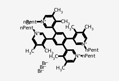 CCCCC[n+]1cc(C)c(C)c(-c2cc(-c3c[n+](CCCCC)cc(C)c3C)c(-c3c[n+](CCCCC)cc(C)c3C)cc2-c2c[n+](CCCCC)cc(C)c2C)c1.[Br-].[Br-].[Br-].[Br-]